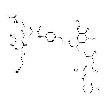 C#CCCOC(=O)N[C@H](C(=O)N[C@@H](CCCNC(N)=O)C(=O)Nc1ccc(COC(=O)C[C@H](/C=C/C=C(\C)C[C@@H](C)/C=C(C)\C=C\[C@H]2CC=CC(=O)O2)[C@@H]2C[C@@H](O)[C@H](C)[C@H](/C=C/C)O2)cc1)C(C)C